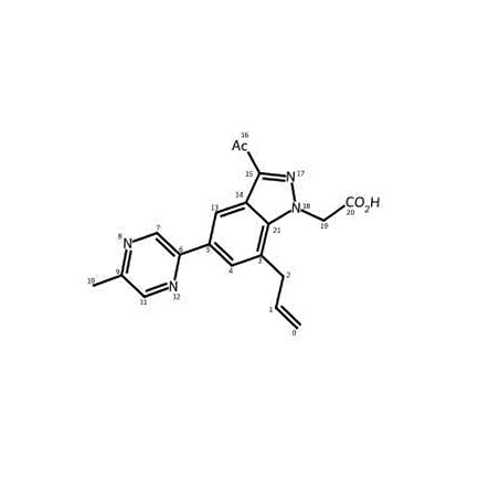 C=CCc1cc(-c2cnc(C)cn2)cc2c(C(C)=O)nn(CC(=O)O)c12